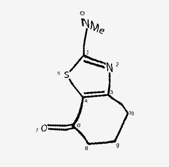 CNc1nc2c(s1)C(=O)CCC2